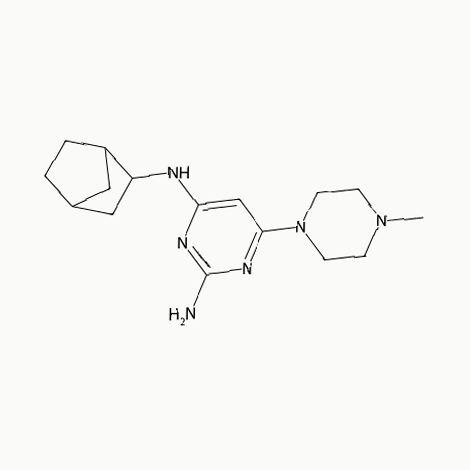 CN1CCN(c2cc(NC3CC4CCC3C4)nc(N)n2)CC1